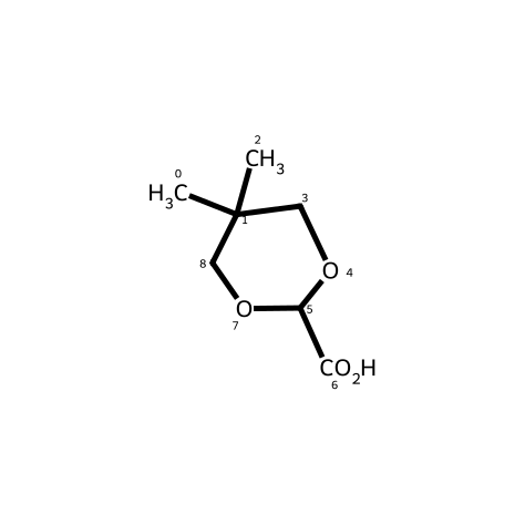 CC1(C)COC(C(=O)O)OC1